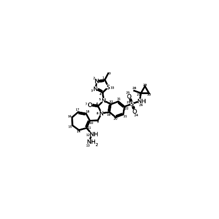 Cc1nnc(-n2c(=O)n(CC3=C(NN)CCCC=C3)c3ccc(S(=O)(=O)NC4(C)CC4)cc32)s1